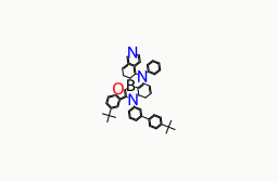 CC(C)(C)c1ccc(-c2cccc(N3c4c(oc5ccc(C(C)(C)C)cc45)B4C5=C(C=CCC53)N(c3ccccc3)C3=c5ccncc5=CCC43)c2)cc1